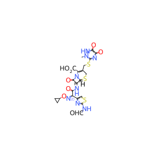 Cn1[nH]c(=O)c(=O)nc1SCC1=C(C(=O)O)N2C(=O)[C@@H](NC(=O)/C(=N\OC3CC3)c3csc(NC=O)n3)[C@H]2SC1